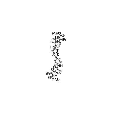 COC(=O)N[C@H](C(=O)N1CCCC1C(=O)Nc1ccc(-c2cn3cc(NC(=O)C4CCCN4C(=O)[C@@H](NC(=O)OC)C(C)C)nc3s2)cc1)C(C)C